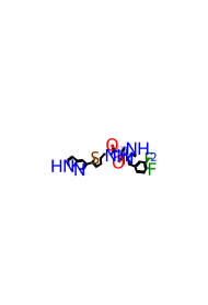 C=CN(Cc1ccc(F)c(F)c1)C(=O)/C(=C\N)C(=O)NCC1CC=C(c2cnc3[nH]ccc3c2)S1